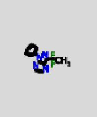 CC(F)(F)c1nn(-c2ccccc2)c2nccnc12